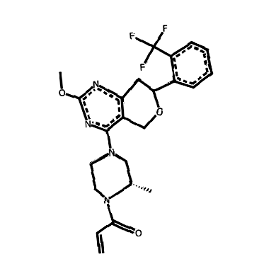 C=CC(=O)N1CCN(c2nc(OC)nc3c2COC(c2ccccc2C(F)(F)F)C3)C[C@@H]1C